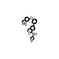 CCc1cc(-c2cccc(Oc3ccc4cnn(C)c4c3)c2)ccc1C(=O)NC1CN(C)C1